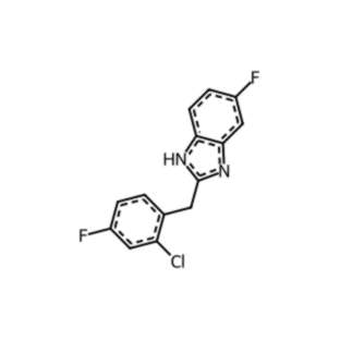 Fc1ccc(Cc2nc3cc(F)ccc3[nH]2)c(Cl)c1